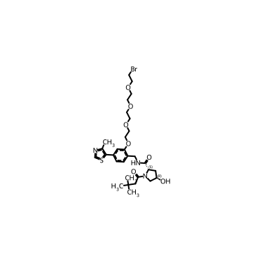 Cc1ncsc1-c1ccc(CNC(=O)[C@@H]2C[C@@H](O)CN2C(=O)CC(C)(C)C)c(OCCOCCOCCOCCBr)c1